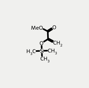 C=C(O[Si](C)(C)C)C(=O)OC